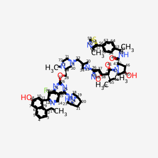 CCc1cccc2cc(O)cc(-c3ncc4c(N5CC6CCC(C5)N6)nc(OC[C@@H]5CN(CC6CN(c7cc([C@@H](C(=O)N8C[C@H](O)C[C@H]8C(=O)N[C@@H](C)c8ccc(-c9scnc9C)cc8)C(C)C)on7)C6)CCN5C)nc4c3F)c12